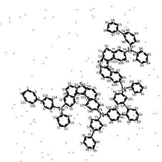 c1ccc(-c2ccc(N(c3ccccc3)c3ccc4c(ccc5sc6ccc7cc(N(c8ccc(-c9ccccc9)cc8)c8ccc(-c9ccccc9-c9cccc(N(c%10ccccc%10)c%10ccc%11c(ccc%12sc%13ccc%14cc(N(c%15ccccc%15)c%15cccc(-c%16ccccc%16)c%15)ccc%14c%13c%12%11)c%10)c9)cc8)ccc7c6c54)c3)cc2)cc1